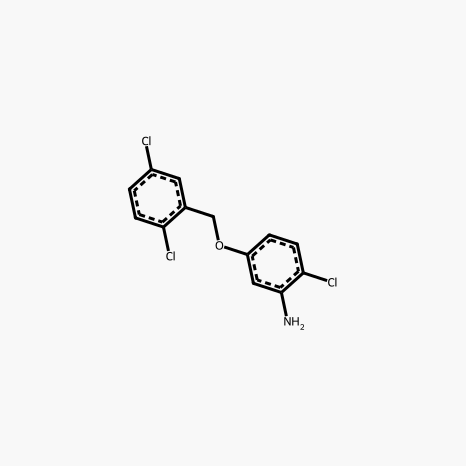 Nc1cc(OCc2cc(Cl)ccc2Cl)ccc1Cl